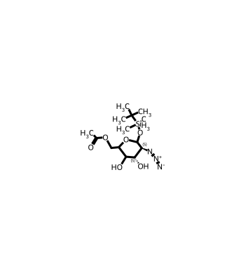 CC(=O)OCC1OC(O[Si](C)(C)C(C)(C)C)[C@@H](N=[N+]=[N-])[C@H](O)C1O